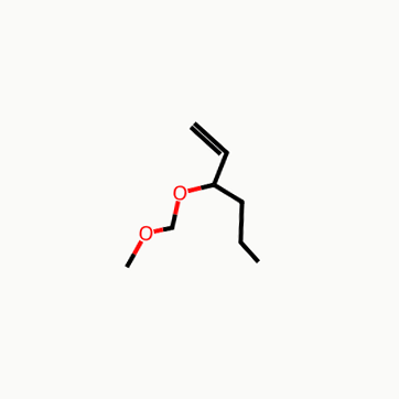 C=CC(CCC)OCOC